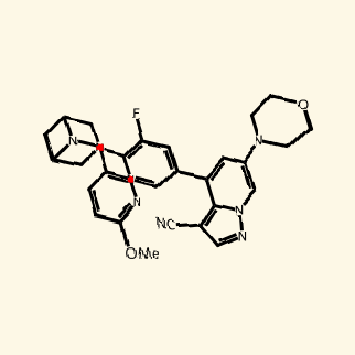 COc1ccc(CN2C3CC2CN(c2ncc(-c4cc(N5CCOCC5)cn5ncc(C#N)c45)cc2F)C3)cn1